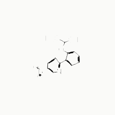 CC(C)Oc1ccccc1-c1ccc([N+](=O)[O-])cn1